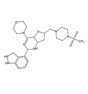 CS(=O)(=O)N1CCN(CC2CC3NC(c4cccc5c4CNN5)N=C(N4CCOCC4)C3S2)CC1